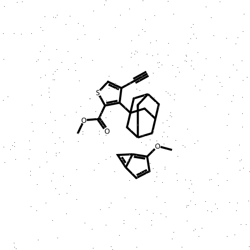 C#Cc1csc(C(=O)OC)c1C12CC3CC(CC(C3)C1)C2.COc1ccc2cc1-2